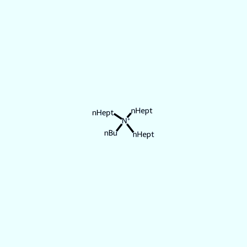 CCCCCCC[N+](CCCC)(CCCCCCC)CCCCCCC